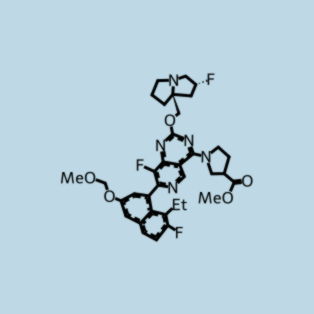 CCc1c(F)ccc2cc(OCOC)cc(-c3ncc4c(N5CCC(C(=O)OC)C5)nc(OC[C@@]56CCCN5C[C@H](F)C6)nc4c3F)c12